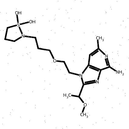 COC(C)c1nc2c(N)nc(C)cc2n1CCOCCCN1CCCS1(O)O